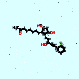 CC(=O)CCCCCC[C@@H]1[C@@H](CCC(O)C#Cc2ccccc2F)[C@H](O)C[C@@H]1O